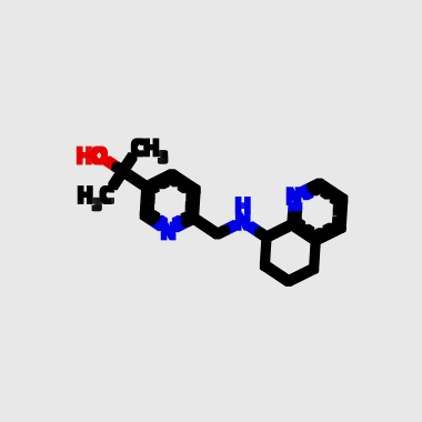 CC(C)(O)c1ccc(CNC2CCCc3cccnc32)nc1